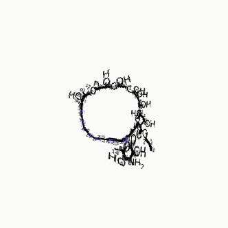 C=CCOC(=O)[C@H]1[C@@H]2C[C@@H](O[C@@H]3O[C@H](C)[C@@H](O)[C@H](N)[C@H]3O)/C=C/C=C/C=C/C=C/C=C/C=C/C=C/[C@H](C)[C@@H](O)[C@@H](C)[C@H](C)OC(=O)C[C@H](O)C[C@H](O)CC[C@@H](O)[C@H](O)C[C@H](O)C[C@](O)(C[C@@H]1O)O2